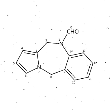 O=CN1Cc2cccn2Cc2ccccc21